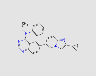 CCN(c1ccccc1)c1ncnc2ccc(-c3ccc4nc(C5CC5)cn4c3)cc12